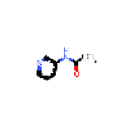 O=C(Nc1cccnc1)C(Cl)(Cl)Cl